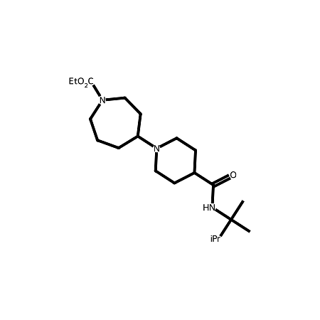 CCOC(=O)N1CCCC(N2CCC(C(=O)NC(C)(C)C(C)C)CC2)CC1